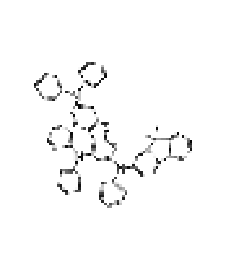 CC1(C)c2ccccc2-c2ccc(N(c3ccccc3)c3cc(N(c4ccccc4)c4ccccc4)c4c(c3)sc3cc(N(c5ccccc5)c5ccccc5)ccc34)cc21